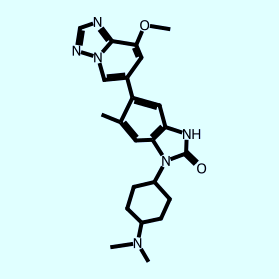 COc1cc(-c2cc3[nH]c(=O)n(C4CCC(N(C)C)CC4)c3cc2C)cn2ncnc12